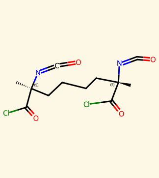 C[C@@](CCCC[C@](C)(N=C=O)C(=O)Cl)(N=C=O)C(=O)Cl